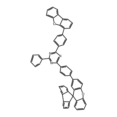 c1ccc(-c2nc(-c3ccc(-c4ccc5c(c4)C4(c6ccccc6O5)c5ccccc5-c5ccccc54)cc3)nc(-c3ccc(-c4cccc5c4oc4ccccc45)cc3)n2)cc1